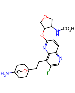 NC12CCC(CCc3c(F)cnc4ccc(OC5COCC5NC(=O)O)nc34)(CC1)OC2